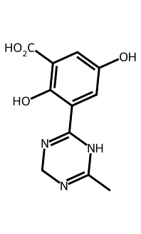 CC1=NCN=C(c2cc(O)cc(C(=O)O)c2O)N1